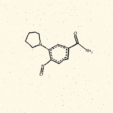 NC(=O)c1ccc(N=O)c(N2CCCC2)c1